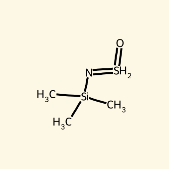 C[Si](C)(C)N=[SH2]=O